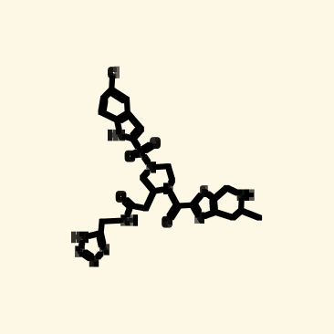 CC1Cc2nc(C(=O)N3CCN(S(=O)(=O)c4cc5cc(Cl)ccc5[nH]4)CC3CC(=O)NCc3nnn[nH]3)sc2CN1